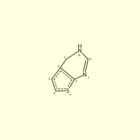 [C]1=Nc2sccc2CN1